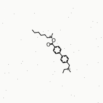 CCCCCC[C@@H](C)OC(=O)c1ccc(-c2ccc(C[C@@H](C)CC)cc2)cc1